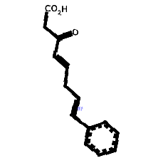 O=C(O)CC(=O)C=CC/C=C/c1ccccc1